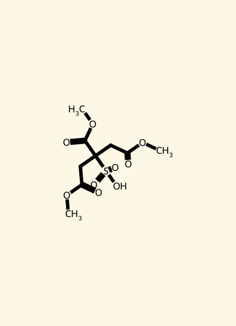 COC(=O)CC(CC(=O)OC)(C(=O)OC)S(=O)(=O)O